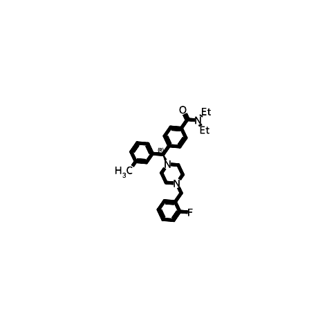 CCN(CC)C(=O)c1ccc([C@H](c2cccc(C)c2)N2CCN(Cc3ccccc3F)CC2)cc1